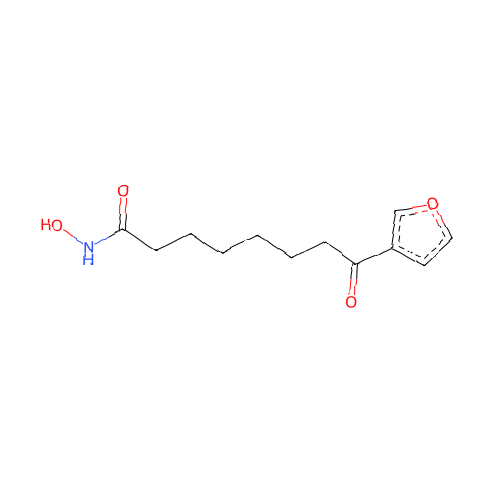 O=C(CCCCCCC(=O)c1ccoc1)NO